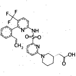 C=Cc1ccccc1-c1nc(NS(=O)(=O)c2cccc(N3CCC[C@@H](CC(=O)O)C3)n2)ccc1C(F)(F)F